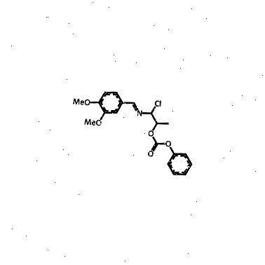 COc1ccc(C=NC(Cl)C(C)OC(=O)Oc2ccccc2)cc1OC